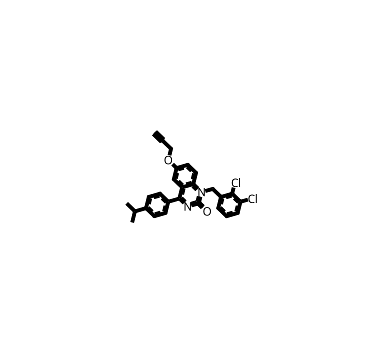 C#CCOc1ccc2c(c1)c(-c1ccc(C(C)C)cc1)nc(=O)n2Cc1cccc(Cl)c1Cl